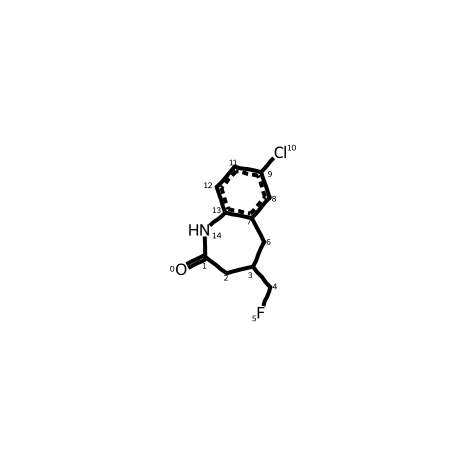 O=C1CC(CF)Cc2cc(Cl)ccc2N1